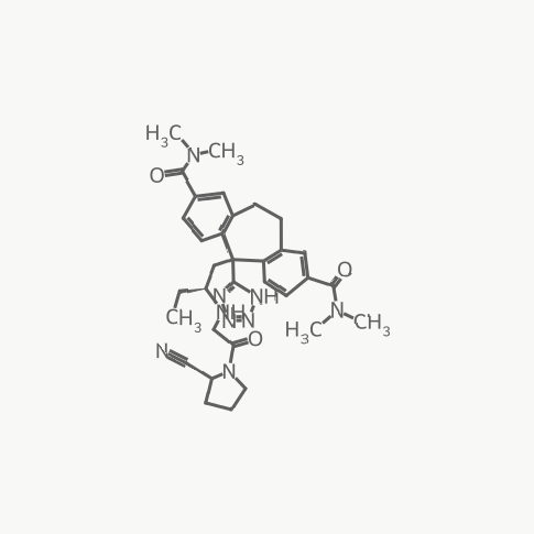 CC[C@@H](CC1(c2nnn[nH]2)c2ccc(C(=O)N(C)C)cc2CCc2cc(C(=O)N(C)C)ccc21)NCC(=O)N1CCCC1C#N